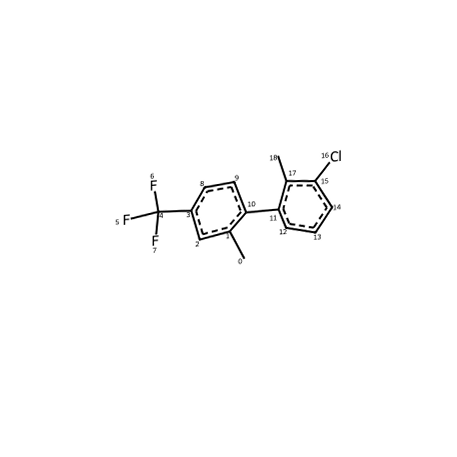 Cc1cc(C(F)(F)F)ccc1-c1cccc(Cl)c1C